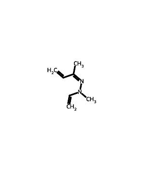 C=C/C(C)=N\N(C)C=C